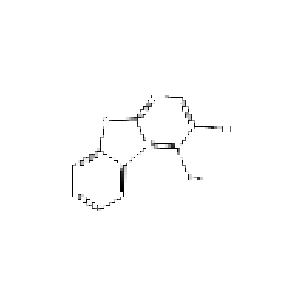 CCc1ccc2sc3ccccc3c2c1C(C)(C)C